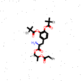 CCC(C)(C)C(=O)Oc1ccc(C[C@H](N)C(=O)O[C@@H](C)C(C)OC(=O)CC(C)C)cc1OC(=O)C(C)(C)CC